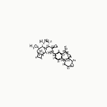 CC(C)CN(CC1CCC1)[C@H](CN)C(=O)Nc1ccc(N2CCOCC2=O)c(C(F)F)c1